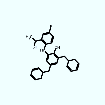 CC(S)c1cc(F)ccc1Pc1cc(CC2C=CC=CC2)cc(CC2C=CC=CC2)c1O